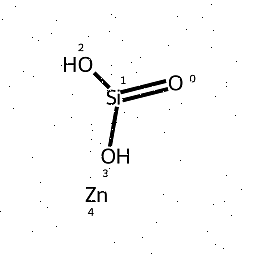 O=[Si](O)O.[Zn]